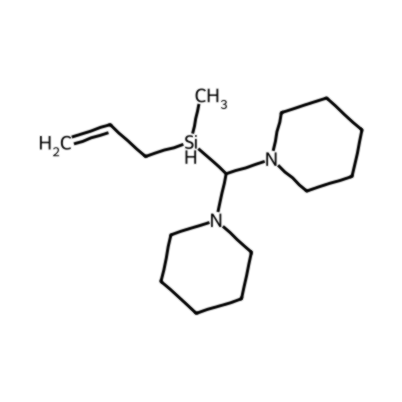 C=CC[SiH](C)C(N1CCCCC1)N1CCCCC1